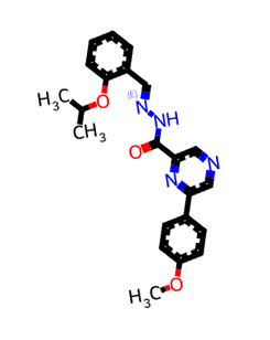 COc1ccc(-c2cncc(C(=O)N/N=C/c3ccccc3OC(C)C)n2)cc1